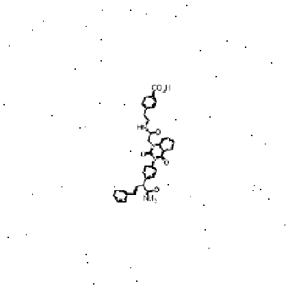 NC(=O)C(C=Cc1ccccc1)c1ccc(-n2c(=O)c3ccccc3n(CC(=O)NCCc3ccc(C(=O)O)cc3)c2=O)cc1